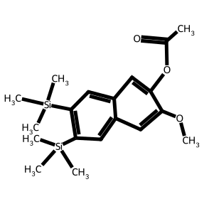 COc1cc2cc([Si](C)(C)C)c([Si](C)(C)C)cc2cc1OC(C)=O